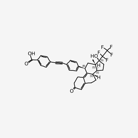 C[C@]12C[C@H](c3ccc(C#Cc4ccc(C(=O)O)cc4)cc3)C3=C4CCC(=O)C=C4CC[C@H]3[C@@H]1CC[C@@]2(O)C(F)(F)C(F)(F)F